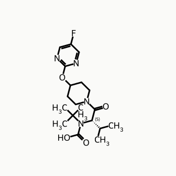 CC(C)[C@@H](C(=O)N1CCC(Oc2ncc(F)cn2)CC1)N(C(=O)O)C(C)(C)C